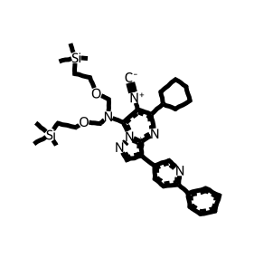 [C-]#[N+]c1c(C2CCCCC2)nc2c(-c3ccc(-c4ccccc4)nc3)cnn2c1N(COCC[Si](C)(C)C)COCC[Si](C)(C)C